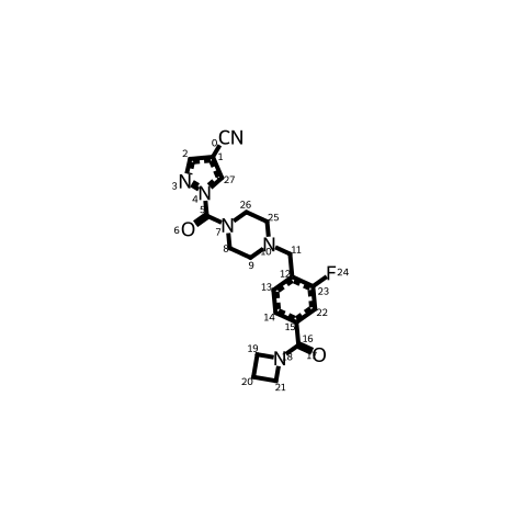 N#Cc1cnn(C(=O)N2CCN(Cc3ccc(C(=O)N4CCC4)cc3F)CC2)c1